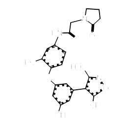 Cc1cc(Oc2ccc(NC(=O)CN3CCCC3=O)cc2C)cc(-c2c(C)noc2C)c1